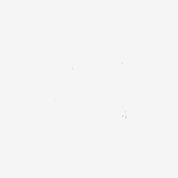 O=C(O)c1ccc2c(c1)C(c1cccc(F)c1Cl)=CCC2